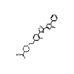 Cc1cc(CCN2CCC(C(=O)O)CC2)ccc1-c1noc(-c2cc(-c3ccccc3)n(C)n2)n1